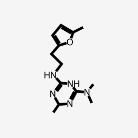 Cc1ccc(CCNC2=NC(C)N=C(N(C)C)N2)o1